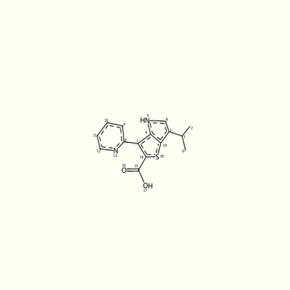 CC(C)c1c[nH]c2c(-c3ccccn3)c(C(=O)O)sc12